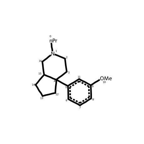 CCCN1CCC2(c3cccc(OC)c3)CCCC2C1